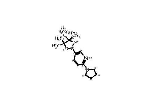 CC1(C)OB(c2ccc(N3CCCC3)nc2)OC1(C)C